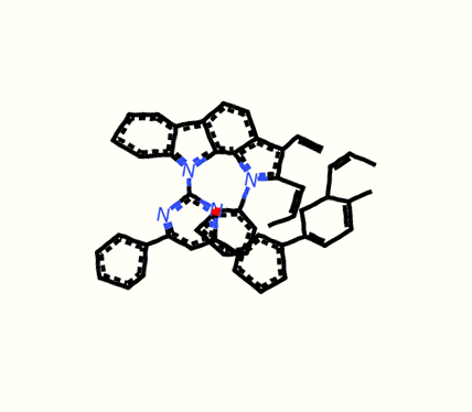 C=Cc1c(/C=C\C)n(-c2ccccc2)c2c1ccc1c3ccccc3n(-c3nc(-c4ccccc4)cc(-c4cccc(C5=CC=C(C)C(/C=C\C)C5)c4)n3)c12